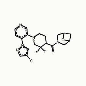 O=C(C1CCN(c2cnccc2-n2cc(Cl)cn2)CC1(F)F)N1CC2CC(C1)O2